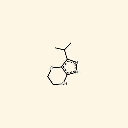 CC(C)c1n[nH]c2c1OCCN2